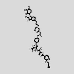 CN(C[C@@H]1CN(CCCc2ccc3c(c2)n(C)c(=O)n3C2CCC(=O)NC2=O)CCO1)C[C@H]1CC[C@H](n2cc(NC(=O)c3coc(-c4ccnc(NCC5CC5)c4)n3)c(C(F)F)n2)CC1